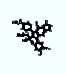 CC[C@@](O)(COC)c1c(-c2ccc(C(=O)O)cc2)c2c(F)c3[nH]ncc3cc2n1-c1ccc(F)c(F)c1